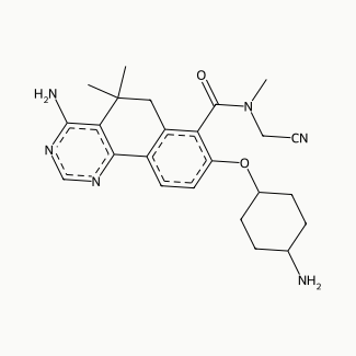 CN(CC#N)C(=O)c1c(OC2CCC(N)CC2)ccc2c1CC(C)(C)c1c(N)ncnc1-2